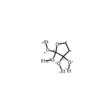 CCOC1(OCC)CCOC1(OCC)OCC